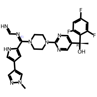 Cn1cc(-c2c[nH]c(/C(=N\C=N)N3CCN(c4ncc([C@@](C)(O)c5c(F)cc(F)cc5F)cn4)CC3)c2)cn1